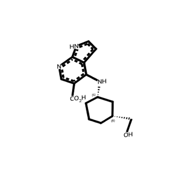 O=C(O)c1cnc2[nH]ccc2c1N[C@H]1CCC[C@@H](CO)C1